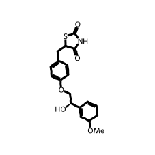 COC1C=C([C@@H](O)COc2ccc(CC3SC(=O)NC3=O)cc2)C=CC1